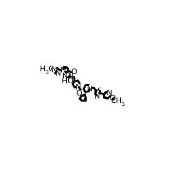 COc1ccc(-c2ncc(CN3CC[C@@H](C(=O)N4CCC(O)(Cn5cnc6c(ccn6-c6cn(C)cn6)c5=O)CC4)[C@H](c4ccccc4)C3)s2)cn1